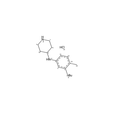 CCCCc1cc(NC2CCNCC2)ccc1C.Cl